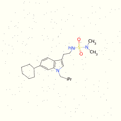 CC(C)Cn1cc(CCNS(=O)(=O)N(C)C)c2ccc(C3CCCCC3)cc21